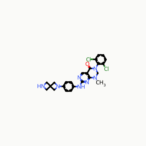 CN1CN(c2c(Cl)cccc2Cl)C(=O)c2cnc(Nc3ccc(N4CC5(CNC5)C4)cc3)nc21